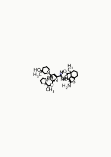 C[C@H](Oc1nc(/C(N)=N/OC(=O)C2(C)CCCc3sc(N)c(C#N)c32)cc(N2CCC[C@@](C)(O)C2)n1)[C@@H]1CCCN1C